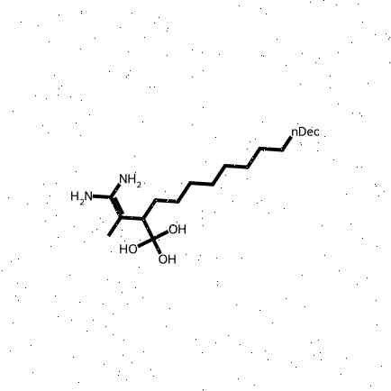 CCCCCCCCCCCCCCCCCCC(C(C)=C(N)N)C(O)(O)O